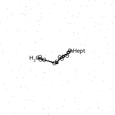 C=CC(=O)OCCOCCCCCCCCOc1ccc(C#CC(=O)Oc2ccc(CC(=O)C3CCC(OCCCCCCC)CC3)cc2)s1